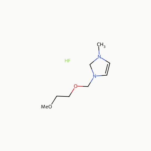 COCCOCN1C=CN(C)C1.F